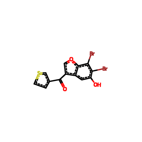 O=C(c1ccsc1)c1coc2c(Br)c(Br)c(O)cc12